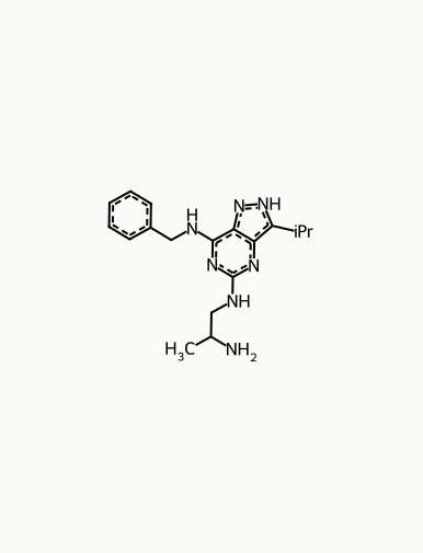 CC(N)CNc1nc(NCc2ccccc2)c2n[nH]c(C(C)C)c2n1